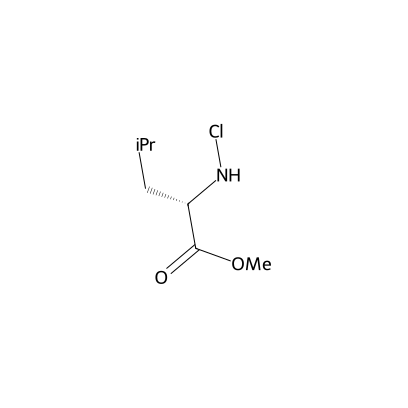 COC(=O)[C@H](CC(C)C)NCl